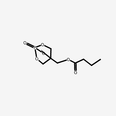 CCCC(=O)OCC12COP(=O)(OC1)OC2